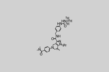 [2H]C([2H])([2H])NC(=O)Nc1ccc(CNC(=O)c2nn(C(C)C)c3c2CN(c2ccc(C(=O)N(C)C)cc2)C[C@@H]3C)cc1